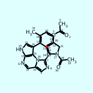 CC(=O)O[C@@H]1C[C@H](c2ncc3cnc4[nH]cc(-c5c(C)cccc5Cl)c4n23)N(C(C)=O)C1